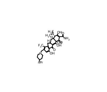 CCCC1CCN(Cc2cc(O)c3c(c2C(F)(F)F)C[C@H]2C[C@H]4[C@H](N(C)C)C(O)=C(C(N)=O)C(=O)[C@@]4(O)C(O)=C2C3=O)CC1